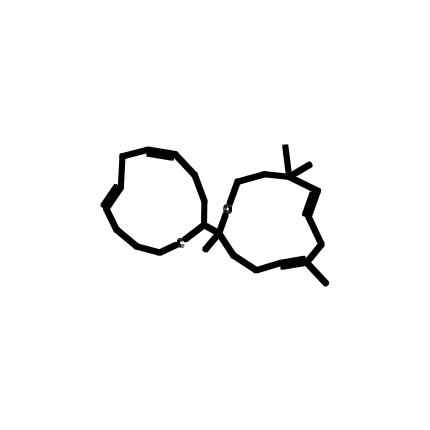 C/C1=C\CCC(C)(C2CC/C=C\C/C=C/CCCC2)OCCC(C)(C)/C=C/C1